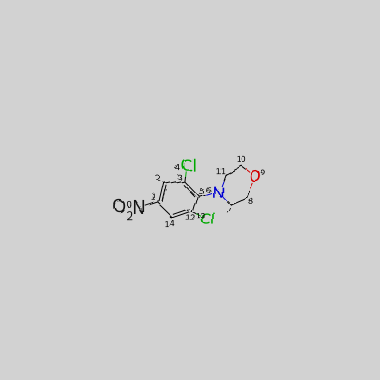 O=[N+]([O-])c1cc(Cl)c(N2CCOCC2)c(Cl)c1